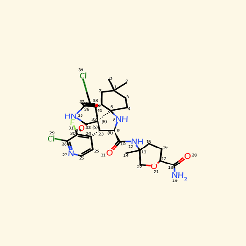 CC1(C)CCC2(CC1)N[C@@H](C(=O)NC1(C)CCC(C(N)=O)OC1)[C@H](c1ccnc(Cl)c1F)[C@]21C(=O)Nc2cc(Cl)ccc21